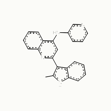 Oc1[nH]c2ccccc2c1-c1cc(Nc2cccnc2)c2ccccc2n1